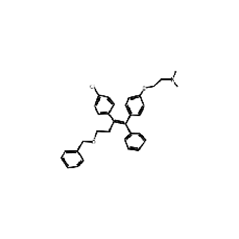 CN(C)CCOc1ccc(/C(=C(/CCOCc2ccccc2)c2ccc(Cl)cc2)c2ccccc2)cc1